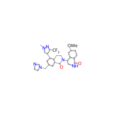 COc1ccc2c(=O)[nH]cc(N3CCc4c(cc(Cn5ccnc5)cc4-c4cn(C)nc4C(F)(F)F)C3=O)c2c1